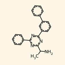 CC(N)c1nc(-c2ccccc2)nc(-c2cccc(-c3ccccc3)c2)n1